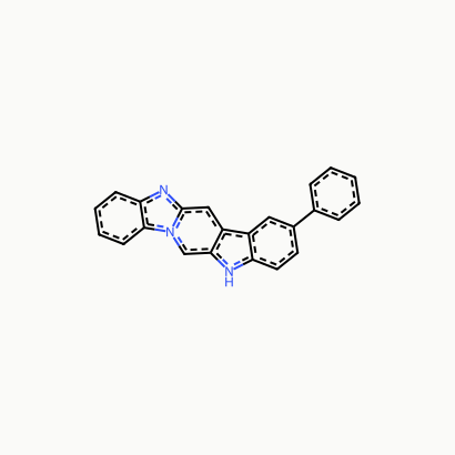 c1ccc(-c2ccc3[nH]c4cn5c(cc4c3c2)nc2ccccc25)cc1